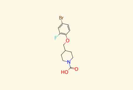 O=C(O)N1CCC(COc2ccc(Br)cc2F)CC1